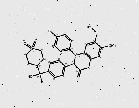 COc1cc2c(cc1OC(C)C)[C@H](c1ccc(Cl)cc1)N(c1ccc([C@](C)(O)C3CCS(=O)(=O)CC3)cc1)C(=O)C2